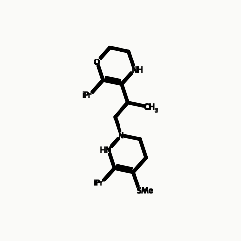 CSC1=C(C(C)C)NN(CC(C)C2=C(C(C)C)OCCN2)CC1